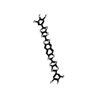 Fc1cc(-c2nc3sc(-c4nc5cc6cc7sc(-c8nc9sc(-c%10cc(F)c(F)c(F)c%10)nc9s8)nc7cc6cc5s4)nc3s2)cc(F)c1F